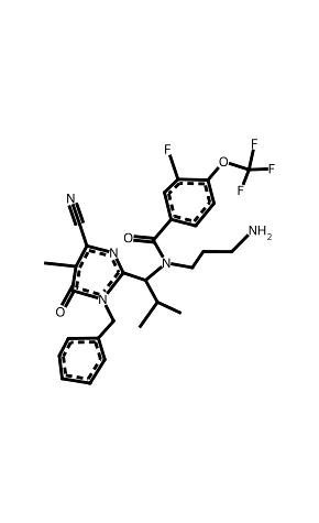 Cc1c(C#N)nc(C(C(C)C)N(CCCN)C(=O)c2ccc(OC(F)(F)F)c(F)c2)n(Cc2ccccc2)c1=O